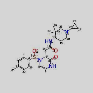 Cc1ccc([S+]([O-])N2C=CNC(=O)[C@H]2CC(=O)N[C@H]2CCN(C3CC3)CC2(C)C)cc1